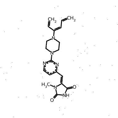 C=C/C=C(\C=C)N1CCN(c2nccc(/C=C3/C(=O)NC(=O)N3C)n2)CC1